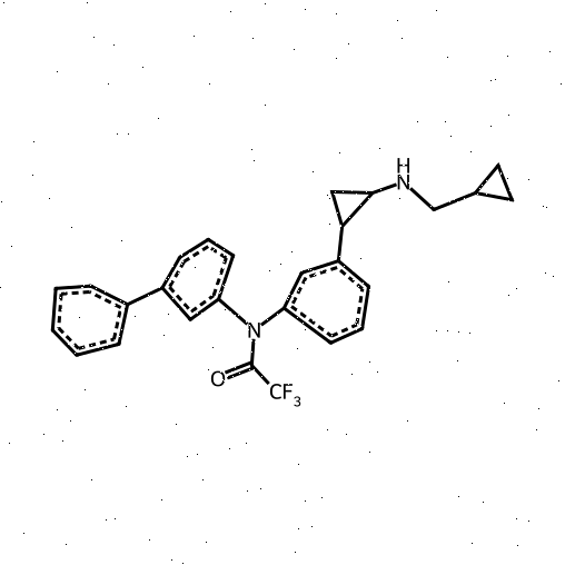 O=C(N(c1cccc(-c2ccccc2)c1)c1cccc(C2CC2NCC2CC2)c1)C(F)(F)F